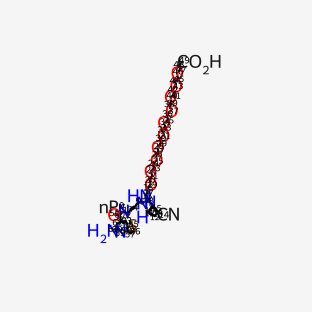 CCCN(CC#CCN/C(=N\c1cccc(C#N)c1)NCCOCCOCCOCCOCCOCCOCCOCCOCCOCCOCCC(=O)O)C(=O)C1=Cc2sccc2N=C(N)C1